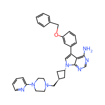 Nc1ncnc2c1c(-c1cccc(OCc3ccccc3)c1)cn2[C@H]1C[C@H](CN2CCN(c3ccccn3)CC2)C1